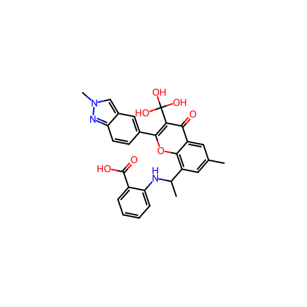 Cc1cc(C(C)Nc2ccccc2C(=O)O)c2oc(-c3ccc4nn(C)cc4c3)c(C(O)(O)O)c(=O)c2c1